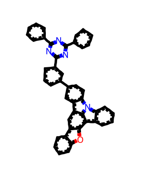 c1ccc(-c2nc(-c3ccccc3)nc(-c3cccc(-c4ccc5c(c4)c4cc6c7ccccc7oc6c6c7ccccc7n5c46)c3)n2)cc1